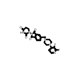 O=C1CCN(N2C(=O)c3ccc(CN4CCN(c5ccnc(F)c5F)CC4)cc3C2=O)C(=O)N1